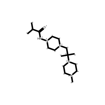 CC(C)C(=O)NN1CCN(CC(C)(C)N2CCN(C)CC2)CC1